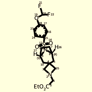 CCOC(=O)CN1CC2(C[C@H]3CC[C@@H](C2)N3S(=O)(=O)c2ccc(OC(F)F)cc2)C1